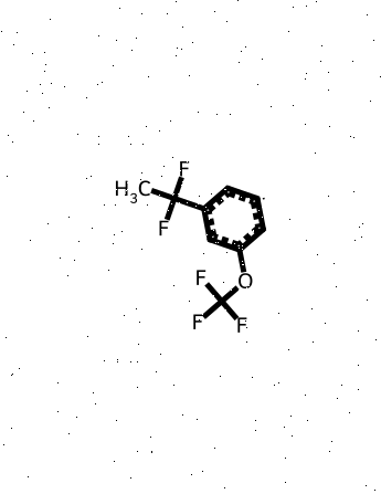 CC(F)(F)c1c[c]cc(OC(F)(F)F)c1